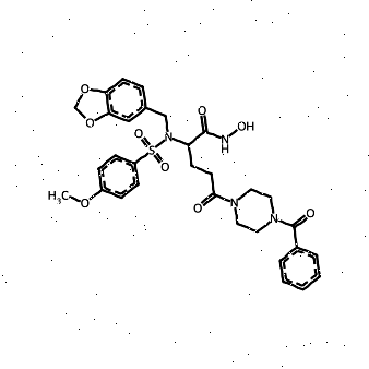 COc1ccc(S(=O)(=O)N(Cc2ccc3c(c2)OCO3)C(CCC(=O)N2CCN(C(=O)c3ccccc3)CC2)C(=O)NO)cc1